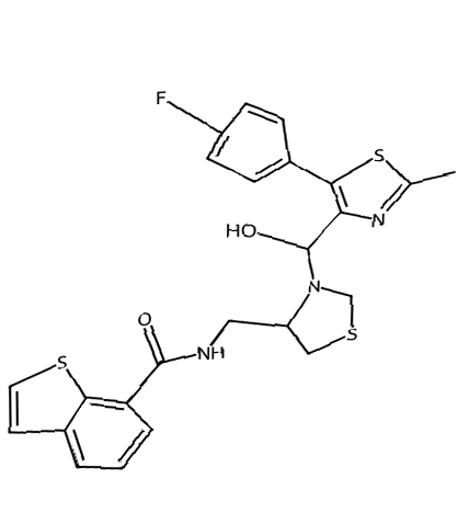 Cc1nc(C(O)N2CSCC2CNC(=O)c2cccc3ccsc23)c(-c2ccc(F)cc2)s1